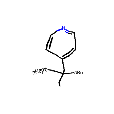 CCCCCCCC(C)(CCCC)c1ccncc1